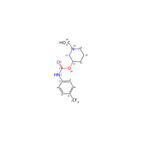 O=C(Nc1ccc(C(F)(F)F)cc1)OC1CCCN(C(=O)O)C1